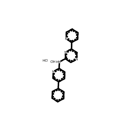 Cl.Cl.c1ccc(-c2ccc(Nc3cncc(-c4ccccn4)n3)nc2)cc1